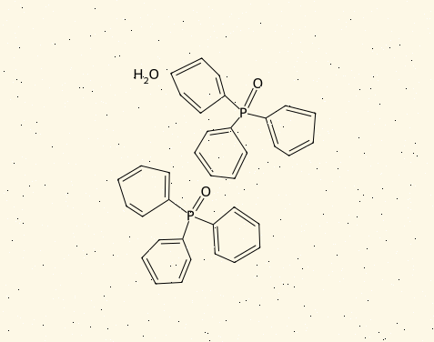 O.O=P(c1ccccc1)(c1ccccc1)c1ccccc1.O=P(c1ccccc1)(c1ccccc1)c1ccccc1